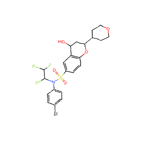 CCc1ccc(N(C(F)C(F)F)S(=O)(=O)c2ccc3c(c2)C(O)CC(C2CCOCC2)O3)cc1